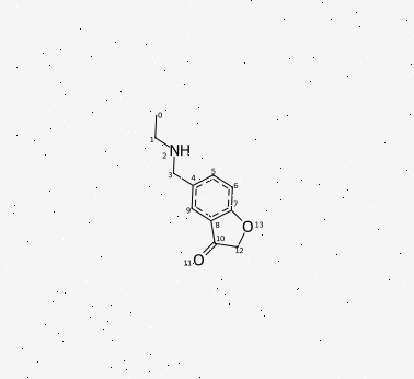 CCNCc1ccc2c(c1)C(=O)CO2